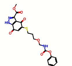 COC(=O)c1n[nH]c2c1C(=O)C(SCCCOCNC(=O)Oc1ccccc1)=CC2=O